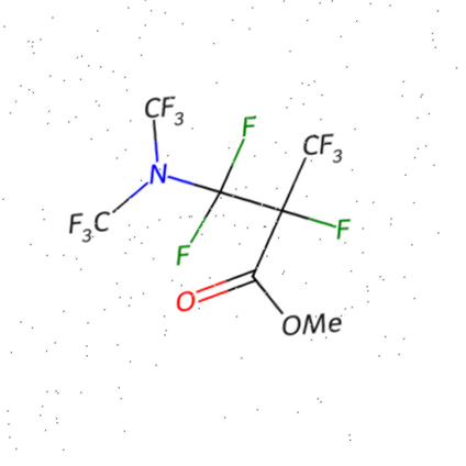 COC(=O)C(F)(C(F)(F)F)C(F)(F)N(C(F)(F)F)C(F)(F)F